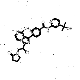 CCC(CN1CCCC1=O)c1nc(-c2ccc(C(=O)Nc3cc(C(C)(C)O)ccn3)cc2)c2c(N)nccn12